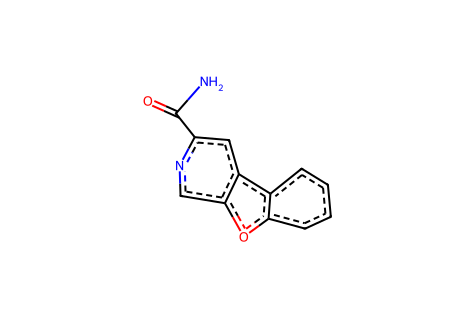 NC(=O)c1cc2c(cn1)oc1ccccc12